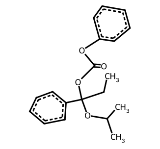 CCC(OC(=O)Oc1ccccc1)(OC(C)C)c1ccccc1